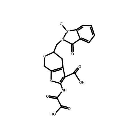 O=C(O)C(=O)Nc1sc2c(c1C(=O)O)CC(Cn1c(=O)c3ccccc3[s+]1[O-])OC2